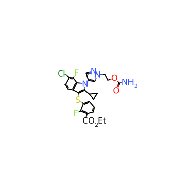 CCOC(=O)c1cccc(Sc2c(C3CC3)n(-c3cnn(CCOC(N)=O)c3)c3c(F)c(Cl)ccc23)c1F